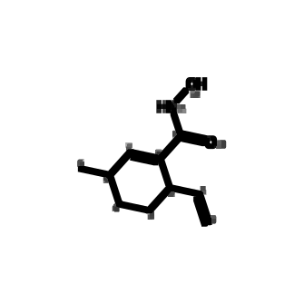 C=CC1CCC(C)C=C1C(=O)NO